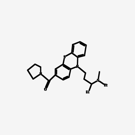 CCC(CCN1c2ccccc2Sc2cc(C(=O)N3CCCC3)ccc21)N(C)CC